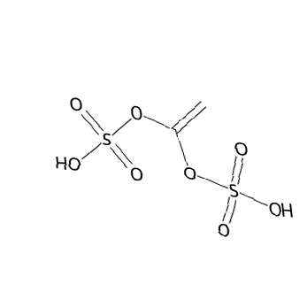 C=C(OS(=O)(=O)O)OS(=O)(=O)O